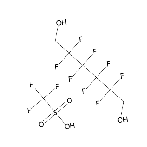 O=S(=O)(O)C(F)(F)F.OCC(F)(F)C(F)(F)C(F)(F)C(F)(F)CO